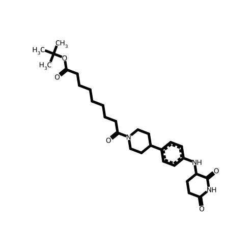 CC(C)(C)OC(=O)CCCCCCCC(=O)N1CCC(c2ccc(NC3CCC(=O)NC3=O)cc2)CC1